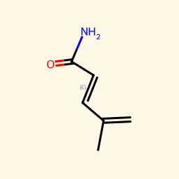 C=C(C)/C=C/C(N)=O